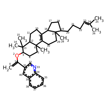 C=C(OC1CCC2(C)C3=C(CCC2C1(C)C)C1CCC(CCCC=C(C)C)C1(C)CC3)c1cnc2ccccc2c1